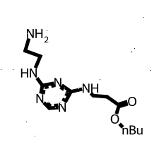 CCCCOC(=O)CCNc1ncnc(NCCN)n1